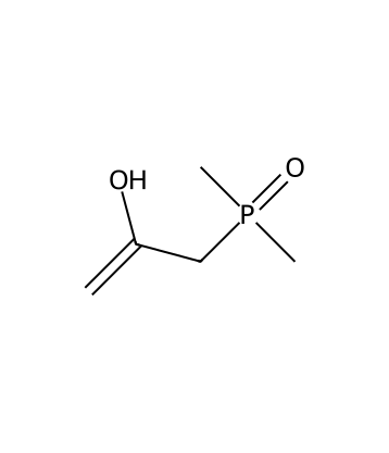 C=C(O)CP(C)(C)=O